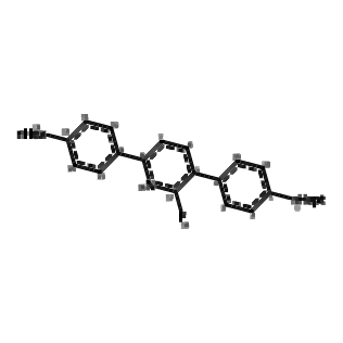 CCCCCCCc1ccc(-c2ccc(-c3ccc(CCCCCC)cc3)nc2F)cc1